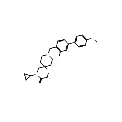 COc1ccc(-c2ccc(CN3CCC4(CC3)CN(C3CC3)C(=O)CO4)c(F)c2)cc1